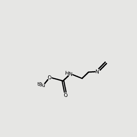 C=NCCNC(=O)OC(C)(C)C